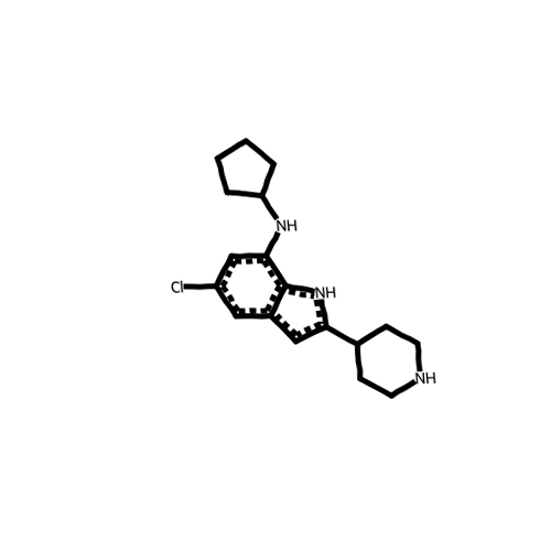 Clc1cc(NC2CCCC2)c2[nH]c(C3CCNCC3)cc2c1